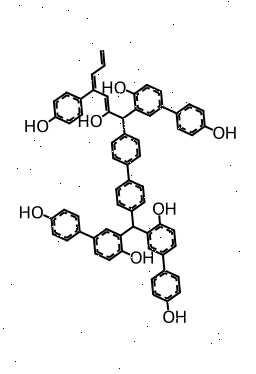 C=C/C=C(\C=C(/O)C(c1ccc(-c2ccc(C(c3cc(-c4ccc(O)cc4)ccc3O)c3cc(-c4ccc(O)cc4)ccc3O)cc2)cc1)c1cc(-c2ccc(O)cc2)ccc1O)c1ccc(O)cc1